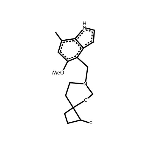 COc1cc(C)c2[nH]ccc2c1CN1CCC2(CCC2F)CC1